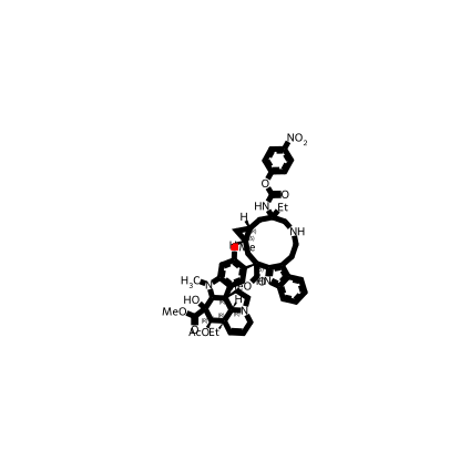 CCC1(NC(=O)Oc2ccc([N+](=O)[O-])cc2)CNCCc2c([nH]c3ccccc23)[C@@](C(=O)OC)(c2cc3c(cc2OC)N(C)C2C(O)(C(=O)OC)[C@H](OC(C)=O)[C@]4(CC)C=CCN5CC[C@]32[C@@H]54)C[C@@H]2C[C@@H]2C1